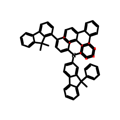 CC1(C)c2ccccc2-c2cccc(-c3ccc(N(c4ccc5c(c4)C(C)(c4ccccc4)c4ccccc4-5)c4ccccc4-c4ccccc4-c4ccccc4-c4ccccc4)cc3)c21